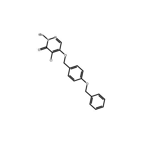 CC(C)(C)n1ncc(OCc2ccc(OCc3ccccc3)cc2)c(Cl)c1=O